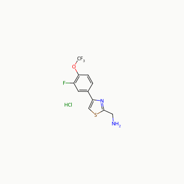 Cl.NCc1nc(-c2ccc(OC(F)(F)F)c(F)c2)cs1